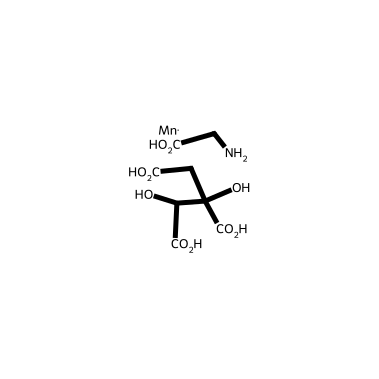 NCC(=O)O.O=C(O)CC(O)(C(=O)O)C(O)C(=O)O.[Mn]